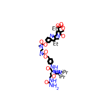 CCc1c2c(nc3ccc(OC(=O)N(C)CCN(C)C(=O)OCc4ccc(NC(=O)[C@H](CCCNC(N)=O)NC(=O)[C@@H](NC(C)C)C(C)C)cc4)cc13)-c1cc3c(c(=O)n1C2)COC(=O)[C@]3(O)CC